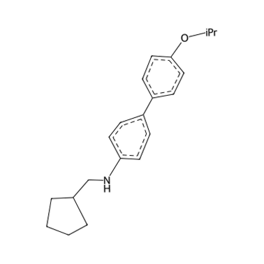 CC(C)Oc1ccc(-c2ccc(NCC3CCCC3)cc2)cc1